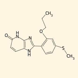 CCCOc1cc(SC)ccc1-c1nc2[nH]c(=O)ccc2[nH]1